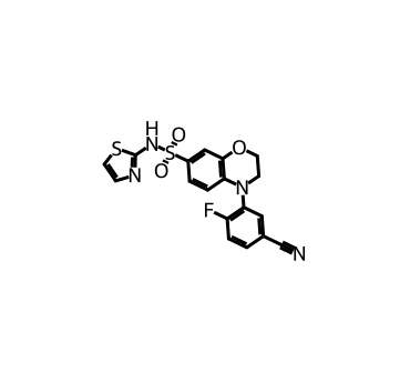 N#Cc1ccc(F)c(N2CCOc3cc(S(=O)(=O)Nc4nccs4)ccc32)c1